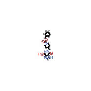 O=C(NCC1CCN(C(=O)OCc2ccccc2)CC1)c1[nH]cnc1CO